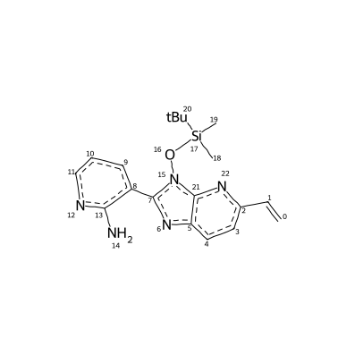 C=Cc1ccc2nc(-c3cccnc3N)n(O[Si](C)(C)C(C)(C)C)c2n1